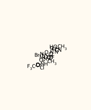 Cc1ncnc(C(=O)N2CC[C@]3(O[C@H](C)c4c3c(=O)n3nc(Br)nc3n4CC(=O)Nc3ccc(C(F)(F)F)cc3Cl)[C@@H](F)C2)c1O